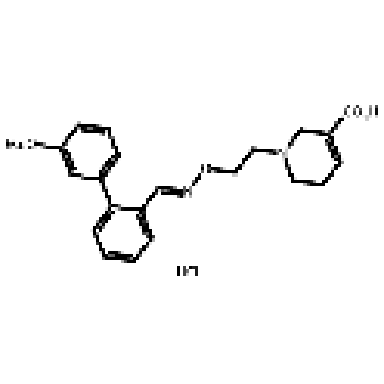 COc1cccc(-c2ccccc2C=NOCCN2CCC=C(C(=O)O)C2)c1.Cl